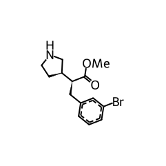 COC(=O)[C@@H](Cc1cccc(Br)c1)[C@H]1CCNC1